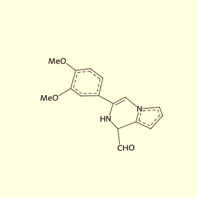 COc1ccc(C2=Cn3cccc3C(C=O)N2)cc1OC